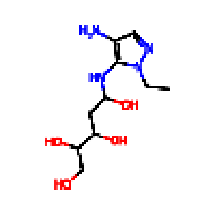 CCn1ncc(N)c1NC(O)CC(O)C(O)CO